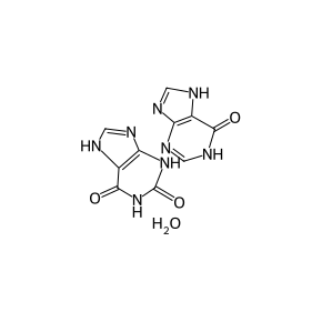 O.O=c1[nH]c(=O)c2[nH]cnc2[nH]1.O=c1[nH]cnc2nc[nH]c12